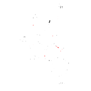 CCCCOC[C@H]1O[C@@H](Oc2ccc(OC)cc2)[C@H](OCCCC)[C@H](OCCCC)[C@@H]1OCCCC